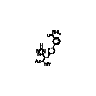 CCC[C@H](C(C)=O)[C@H](Cc1ccc(-c2cccc(C(N)=O)c2)cc1)c1nn[nH]n1